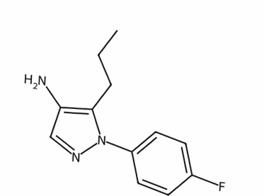 CCCc1c(N)cnn1-c1ccc(F)cc1